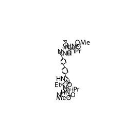 CC[C@@H](c1ncc(-c2ccc(-c3ccc(-c4cnc([C@@H]5CC6(CC6)CN5C(=O)[C@@H](NC(=O)OC)C(C)C)[nH]4)cc3)cc2)[nH]1)N(CCC#N)C(=O)[C@@H](NC(=O)OC)C(C)C